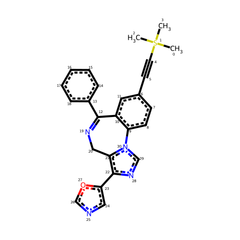 CS(C)(C)C#Cc1ccc2c(c1)C(c1ccccc1)=NCc1c(-c3cnco3)ncn1-2